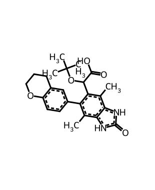 Cc1c(-c2ccc3c(c2)CCCO3)c(C(OC(C)(C)C)C(=O)O)c(C)c2[nH]c(=O)[nH]c12